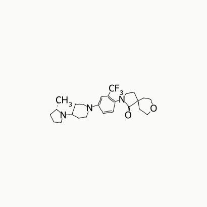 C[C@H]1CCCN1C1CCN(c2ccc(N3CCC4(CCOCC4)C3=O)c(C(F)(F)F)c2)CC1